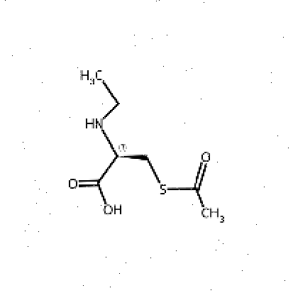 CCN[C@@H](CSC(C)=O)C(=O)O